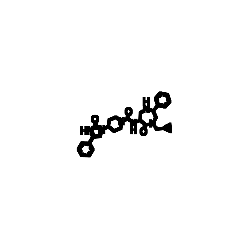 O=C(N[C@H]1CN[C@@H](c2ccccc2)CN(CC2CC2)C1=O)N1CCC(n2cc(-c3ccccc3)[nH]c2=O)CC1